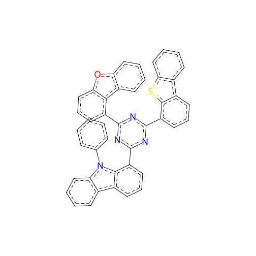 c1ccc(-n2c3ccccc3c3cccc(-c4nc(-c5cccc6c5sc5ccccc56)nc(-c5cccc6oc7ccccc7c56)n4)c32)cc1